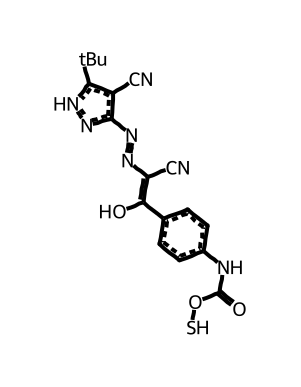 CC(C)(C)c1[nH]nc(/N=N/C(C#N)=C(\O)c2ccc(NC(=O)OS)cc2)c1C#N